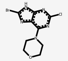 Clc1nc(N2CCOCC2)c2nc(Br)[nH]c2n1